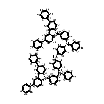 c1ccc(-c2ccc3c(c2)c2cc(-c4ccccc4)ccc2n3-c2cccc(N(c3ccccc3)c3ccc(Oc4ccc(N(c5ccccc5)c5cccc(-n6c7ccc(-c8ccccc8)cc7c7cc(-c8ccccc8)ccc76)c5)cc4)cc3)c2)cc1